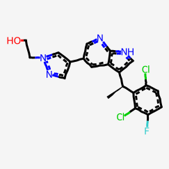 C[C@H](c1c(Cl)ccc(F)c1Cl)c1c[nH]c2ncc(-c3cnn(CCO)c3)cc12